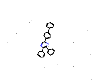 c1ccc(-c2ccc(-c3cnc(-c4ccccc4)c(-c4ccccc4)n3)cc2)cc1